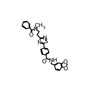 CN(CCc1nsc(-c2ccc(C(=O)NCc3ccc4c(c3)OCO4)cc2)n1)C(=O)c1ccccc1